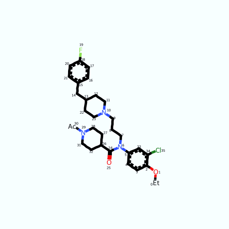 CCOc1ccc(N(CCCN2CCC(Cc3ccc(F)cc3)CC2)C(=O)C2CCN(C(C)=O)CC2)cc1Cl